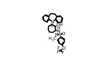 CN=S(=O)(N[C@H]1CCCC[C@@H](N2c3ccccc3CCc3ccccc32)[C@H]1O)c1ccc(OC(F)(F)F)cc1